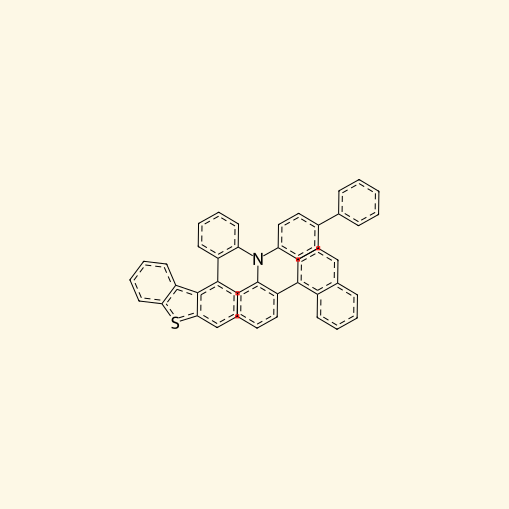 c1ccc(-c2ccc(N(c3ccccc3-c3cccc4ccccc34)c3ccccc3-c3cccc4sc5ccccc5c34)cc2)cc1